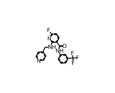 O=C(Nc1cccc(C(F)(F)F)c1)c1ccc(F)nc1NCc1ccncc1